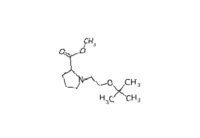 COC(=O)C1CCCN1CCOC(C)(C)C